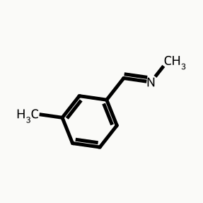 C/N=C/c1cccc(C)c1